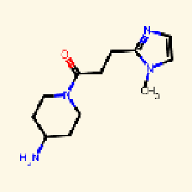 Cn1ccnc1CCC(=O)N1CCC(N)CC1